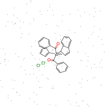 O=[C](c1ccccc1)[Zr+2]([C](=O)c1ccccc1)([C]1=CC=CC1)[CH]1C=Cc2ccccc21.[Cl-].[Cl-]